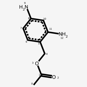 CC(=O)OCc1ccc(N)cc1N